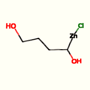 OCCC[CH](O)[Zn][Cl]